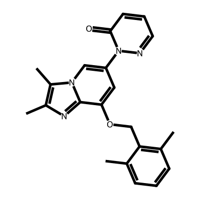 Cc1cccc(C)c1COc1cc(-n2ncccc2=O)cn2c(C)c(C)nc12